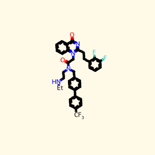 CCNCCN(Cc1ccc(-c2ccc(C(F)(F)F)cc2)cc1)C(=O)Cn1c(CCc2cccc(F)c2F)nc(=O)c2ccccc21